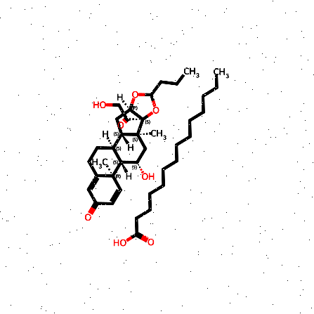 CCCC1O[C@@H]2C[C@H]3[C@@H]4CCC5=CC(=O)C=C[C@]5(C)[C@H]4[C@@H](O)C[C@]3(C)[C@]2(C(=O)CO)O1.CCCCCCCCCCCCCC(=O)O